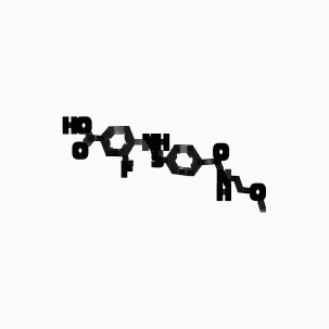 COCCNC(=O)c1ccc(SNc2ccc(C(=O)O)cc2F)cc1